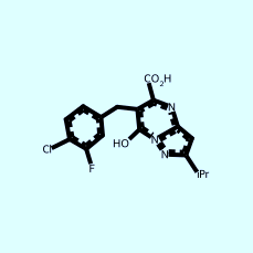 CC(C)c1cc2nc(C(=O)O)c(Cc3ccc(Cl)c(F)c3)c(O)n2n1